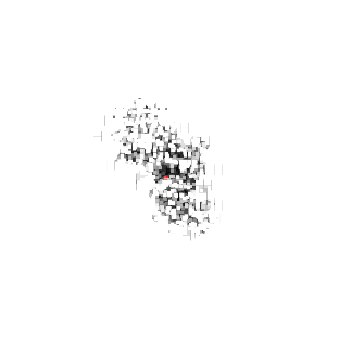 CNC(COC(C)(C)CC(C)(C)C(=O)NCC(C)(C)CC(C)(C)COC1OC(CO)C(O)C(O)C1NC(C)=O)(COC(C)(C)CC(C)(C)C(=O)NCC(C)(C)CC(C)(C)COC(OC(CO)[C@@H](C)O)[C@H](CO)NC(C)=O)COC(C)(C)CC(C)(C)C(=O)NCC(C)(C)CC(C)(C)COC(OC(CO)[C@@H](C)O)[C@H](CO)NC(C)=O